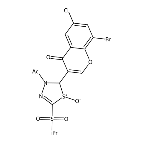 CC(=O)N1N=C(S(=O)(=O)C(C)C)[S+]([O-])C1c1coc2c(Br)cc(Cl)cc2c1=O